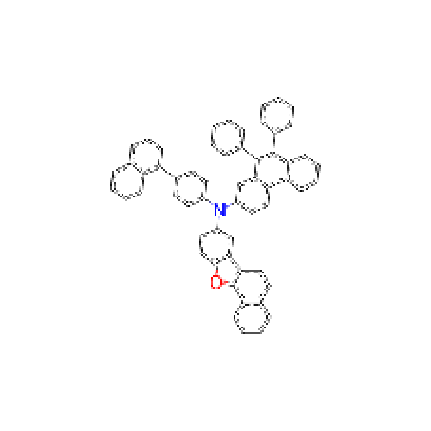 c1ccc(-c2c(-c3ccccc3)c3cc(N(c4ccc(-c5cccc6ccccc56)cc4)c4ccc5oc6c7ccccc7ccc6c5c4)ccc3c3ccccc23)cc1